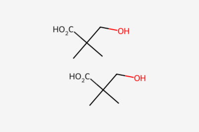 CC(C)(CO)C(=O)O.CC(C)(CO)C(=O)O